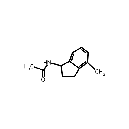 CC(=O)NC1CCc2c(C)cccc21